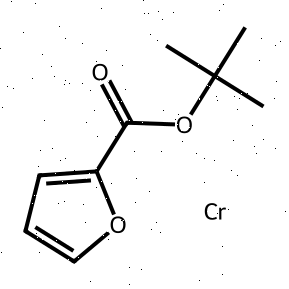 CC(C)(C)OC(=O)c1ccco1.[Cr]